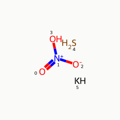 O=[N+]([O-])O.S.[KH]